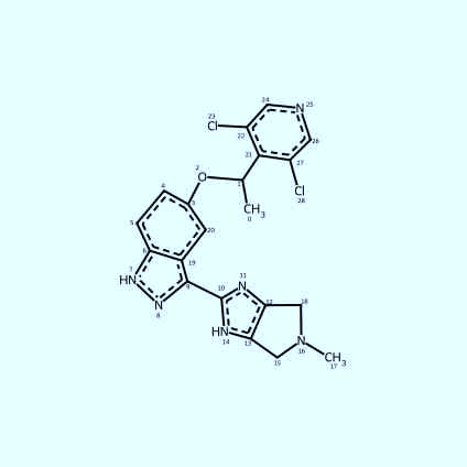 CC(Oc1ccc2[nH]nc(-c3nc4c([nH]3)CN(C)C4)c2c1)c1c(Cl)cncc1Cl